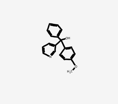 COc1ccc(C(O)(c2ccccc2)c2cccnc2)cc1